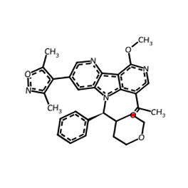 COc1ncc(C(C)=O)c2c1c1ncc(-c3c(C)noc3C)cc1n2[C@H](c1ccccc1)C1CCOCC1